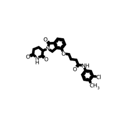 Cc1ccc(NC(=O)CCCOc2cccc3c2CN(C2CCC(=O)NC2=O)C3=O)cc1Cl